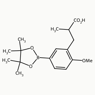 COc1ccc(B2OC(C)(C)C(C)(C)O2)cc1CC(C)C(=O)O